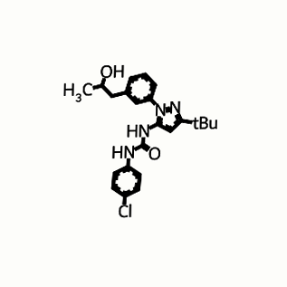 CC(O)Cc1cccc(-n2nc(C(C)(C)C)cc2NC(=O)Nc2ccc(Cl)cc2)c1